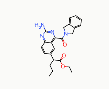 CCCC(C(=O)OCC)c1ccc2nc(N)nc(C(=O)N3Cc4ccccc4C3)c2c1